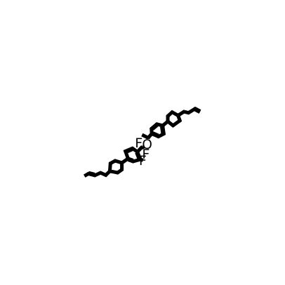 C=CCCC1CCC(c2ccc(C(C)OC(F)(F)c3ccc(C4CCC(CC/C=C/C)CC4)cc3F)cc2)CC1